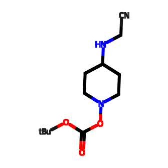 CC(C)(C)OC(=O)ON1CCC(NCC#N)CC1